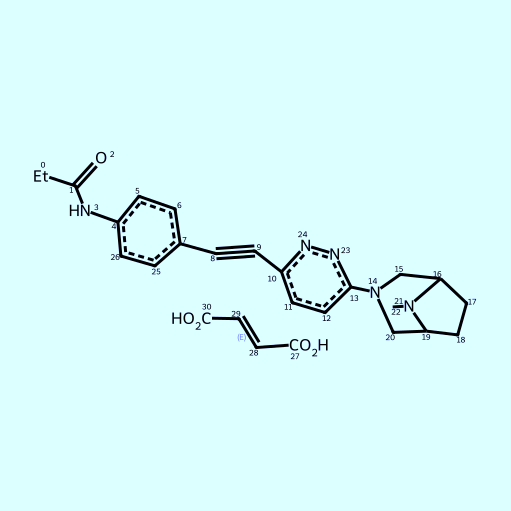 CCC(=O)Nc1ccc(C#Cc2ccc(N3CC4CCC(C3)N4C)nn2)cc1.O=C(O)/C=C/C(=O)O